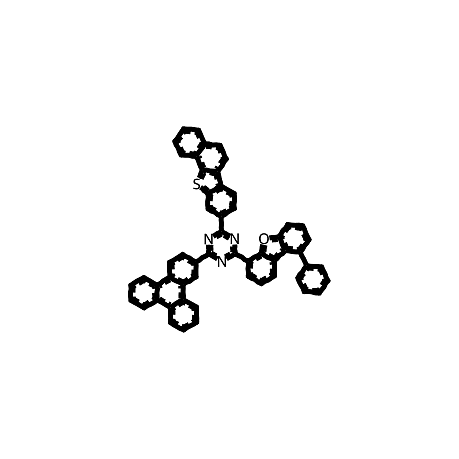 c1ccc(-c2cccc3oc4c(-c5nc(-c6ccc7c(c6)sc6c8ccccc8ccc76)nc(-c6ccc7c8ccccc8c8ccccc8c7c6)n5)cccc4c23)cc1